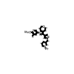 COc1ncc(-n2nc(-c3cnn(CC4CCCN(C(C)C)C4)c3)c3c2CCOCC3)cc1C